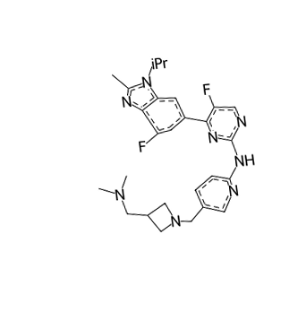 Cc1nc2c(F)cc(-c3nc(Nc4ccc(CN5CC(CN(C)C)C5)cn4)ncc3F)cc2n1C(C)C